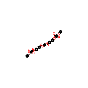 COc1cc(C(=O)Oc2ccc(-c3ccc(C(=O)Oc4ccc(OC(=O)c5ccc(-c6ccc(OC(=O)c7cc(OC)c(OCc8ccccc8)cc7OC)cc6)cc5)cc4)cc3)cc2)c(C=O)cc1OCc1ccccc1